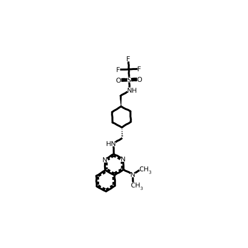 CN(C)c1nc(NC[C@H]2CC[C@H](CNS(=O)(=O)C(F)(F)F)CC2)nc2ccccc12